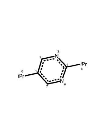 CC(C)c1cnc(C(C)C)nc1